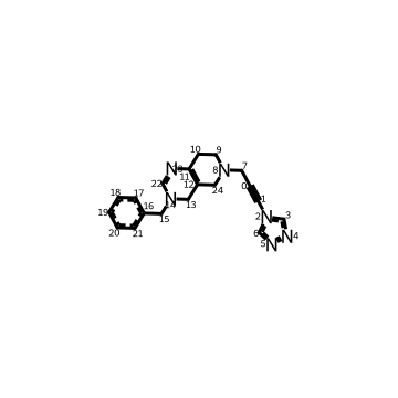 C(#Cn1cnnc1)CN1CCC2=C(CN(Cc3ccccc3)C=N2)C1